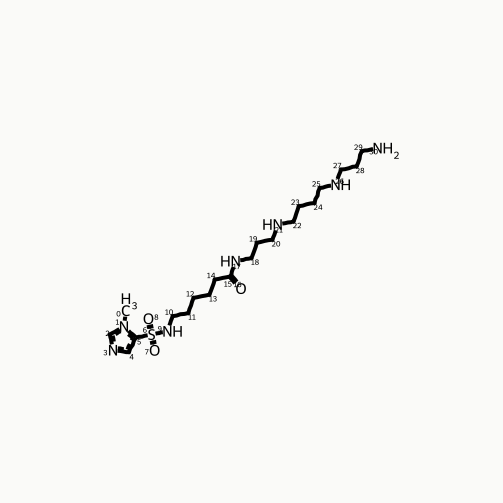 Cn1cncc1S(=O)(=O)NCCCCCC(=O)NCCCNCCCCNCCCN